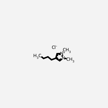 CCCCc1cn(C)[n+](C)c1.[Cl-]